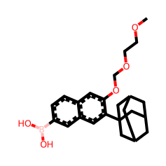 COCCOCOc1cc2ccc(B(O)O)cc2cc1C12CC3CC(CC(C3)C1)C2